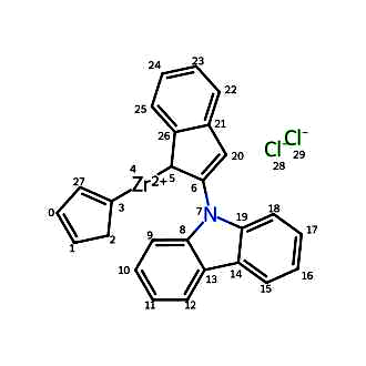 C1=CC[C]([Zr+2][CH]2C(n3c4ccccc4c4ccccc43)=Cc3ccccc32)=C1.[Cl-].[Cl-]